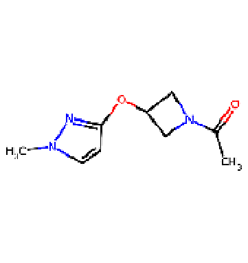 CC(=O)N1CC(Oc2ccn(C)n2)C1